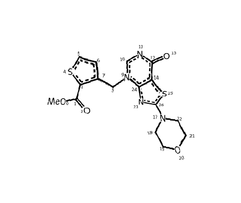 COC(=O)c1sccc1Cn1cnc(=O)c2sc(N3CCOCC3)nc21